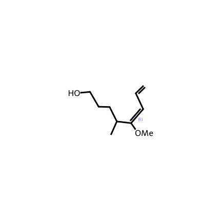 C=C/C=C(/OC)C(C)CCCO